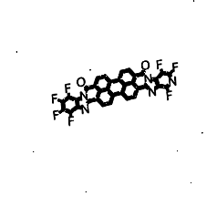 O=c1c2ccc3c4ccc5c(=O)n6c(nc7c(F)c(F)c(F)c(F)c76)c6ccc(c7ccc(c2c37)c2nc3c(F)nc(F)c(F)c3n12)c4c56